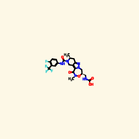 C[C@@H]1Cc2nn3c(c2CN1C(=O)Nc1ccc(F)c(C(F)(F)F)c1)C(=O)N(C)O[C@@H](CNC(=O)O)C3